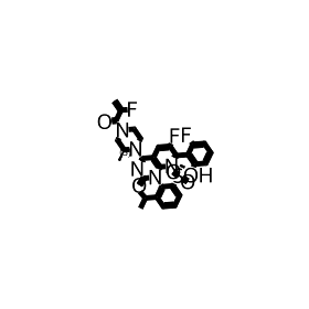 C=C(F)C(=O)N1CCN(c2nc(=O)n(-c3c(C(C)C)cccc3S(C)(=O)=O)c3nc(-c4c(O)cccc4F)c(F)cc23)[C@@H](C)C1